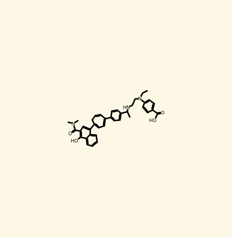 CCN(CCNC(C)c1ccc(C2=CC=C(c3cc(C(=O)N(C)C)c(O)c4ccccc34)CC=C2)cc1)c1ccc(C(=O)O)cc1